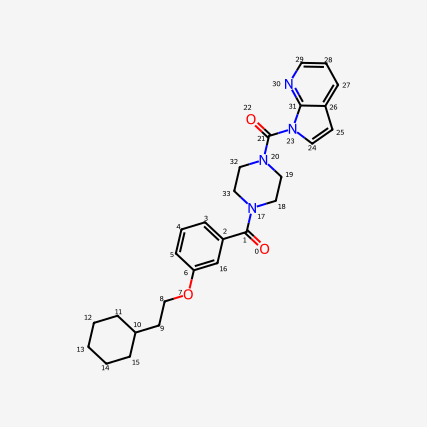 O=C(c1cccc(OCCC2CCCCC2)c1)N1CCN(C(=O)n2ccc3cccnc32)CC1